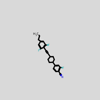 CCCc1cc(F)c(C#CC2CCC(c3ccc(C#N)c(F)c3)CC2)c(F)c1